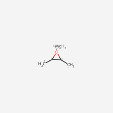 CC1OC1C.[MgH2]